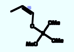 C/C=C\O[Si](OC)(OC)OC